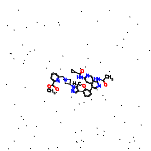 COC(=O)c1cccc(CN2CC(n3cc(-c4cccc(-c5cnc(NC(C)=O)c6cnc(NC(=O)C7CC7)cc56)c4OC)cn3)C2)n1